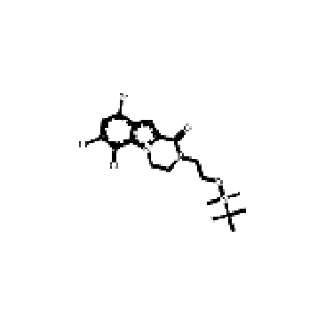 CC(C)(C)[Si](C)(C)OCCN1CCn2c(cc3c(Br)cc(Cl)c(Cl)c32)C1=O